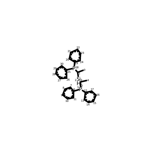 CC([SiH2]C(C)P(c1ccccc1)c1ccccc1)P(c1ccccc1)c1ccccc1